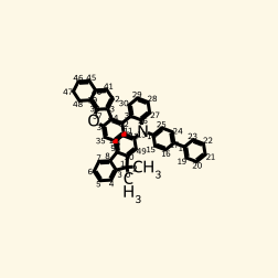 CC1(C)c2ccccc2-c2ccc(N(c3ccc(-c4ccccc4)cc3)c3ccccc3-c3cccc4oc5c6c(ccc5c34)C=CCC6)cc21